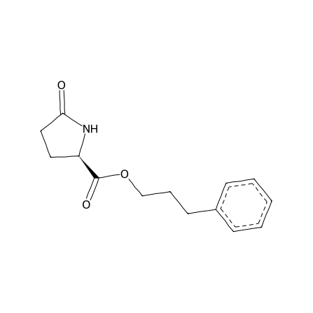 O=C1CC[C@H](C(=O)OCCCc2ccccc2)N1